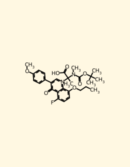 CCCOc1ccc(F)c2c(=O)c(-c3ccc(OC)cc3)cn(C(C)(C(=O)O)N(C)C(=O)OC(C)(C)C)c12